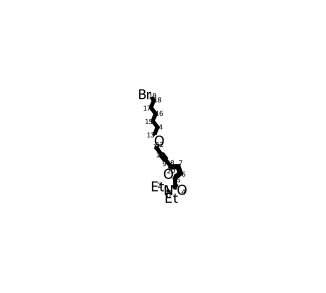 CCN(CC)C(=O)c1ccc(C#CCOCCCCCCBr)o1